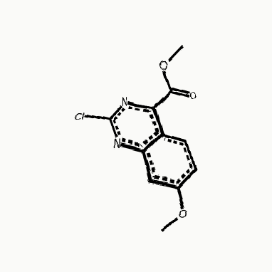 COC(=O)c1nc(Cl)nc2cc(OC)ccc12